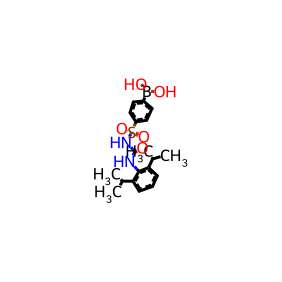 CC(C)c1cccc(C(C)C)c1NC(=O)NS(=O)(=O)c1ccc(B(O)O)cc1